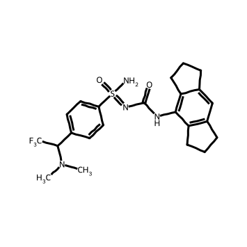 CN(C)C(c1ccc(S(N)(=O)=NC(=O)Nc2c3c(cc4c2CCC4)CCC3)cc1)C(F)(F)F